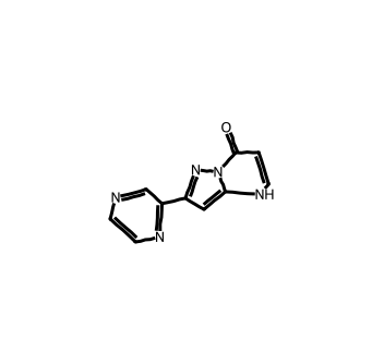 O=c1cc[nH]c2cc(-c3cnccn3)nn12